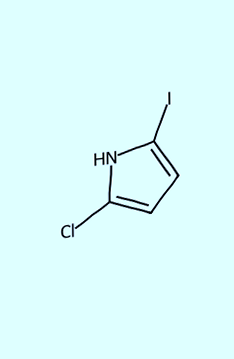 Clc1ccc(I)[nH]1